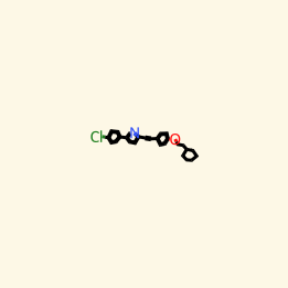 Clc1ccc(-c2ccc(C#Cc3ccc(OCC[C]4CCCCC4)cc3)nc2)cc1